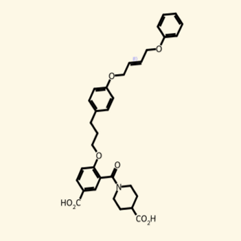 O=C(O)c1ccc(OCCCc2ccc(OC/C=C/COc3ccccc3)cc2)c(C(=O)N2CCC(C(=O)O)CC2)c1